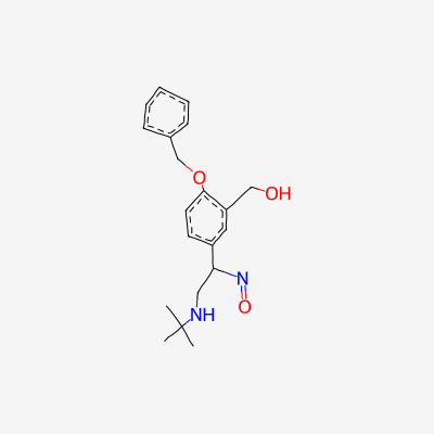 CC(C)(C)NCC(N=O)c1ccc(OCc2ccccc2)c(CO)c1